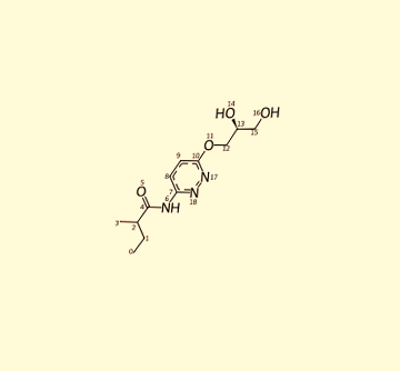 CCC(C)C(=O)Nc1ccc(OC[C@@H](O)CO)nn1